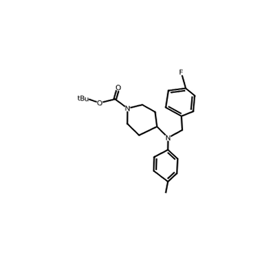 Cc1ccc(N(Cc2ccc(F)cc2)C2CCN(C(=O)OC(C)(C)C)CC2)cc1